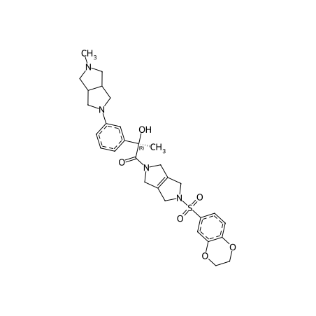 CN1CC2CN(c3cccc([C@@](C)(O)C(=O)N4CC5=C(C4)CN(S(=O)(=O)c4ccc6c(c4)OCCO6)C5)c3)CC2C1